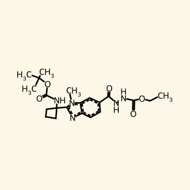 CCOC(=O)NNC(=O)c1ccc2nc(C3(NC(=O)OC(C)(C)C)CCC3)n(C)c2c1